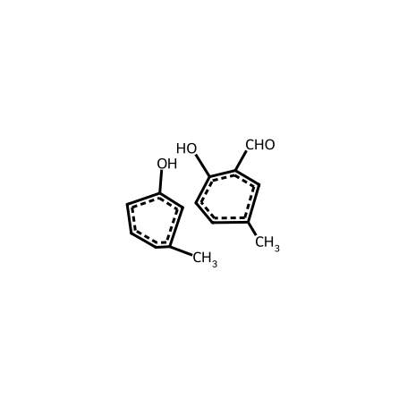 Cc1ccc(O)c(C=O)c1.Cc1cccc(O)c1